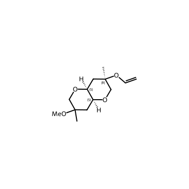 C=CO[C@@]1(C)CO[C@H]2CC(C)(OC)CO[C@H]2C1